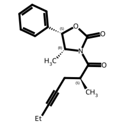 CCC#CC[C@H](C)C(=O)N1C(=O)O[C@@H](c2ccccc2)[C@H]1C